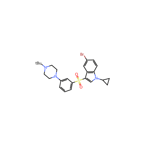 CC(C)(C)N1CCN(c2cccc(S(=O)(=O)c3cn(C4CC4)c4ccc(Br)cc34)c2)CC1